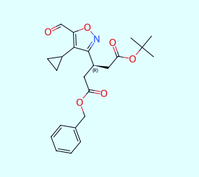 CC(C)(C)OC(=O)C[C@@H](CC(=O)OCc1ccccc1)c1noc(C=O)c1C1CC1